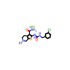 CCN1CCc2c(sc(NC(=O)NCc3cccc(Cl)c3)c2C(N)=O)C1.Cl